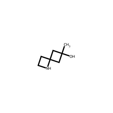 CC1(O)CC2(CCN2)C1